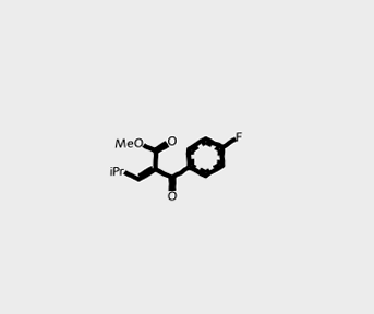 COC(=O)C(=CC(C)C)C(=O)c1ccc(F)cc1